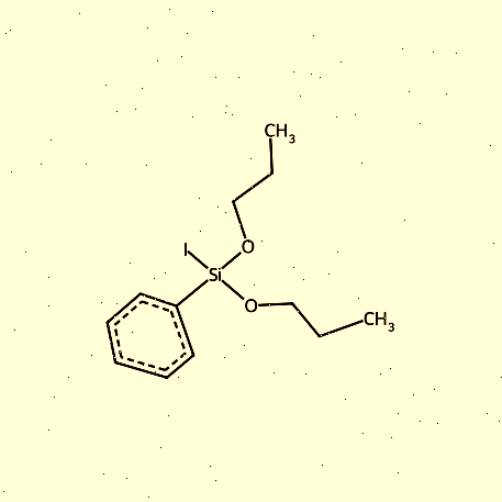 CCCO[Si](I)(OCCC)c1ccccc1